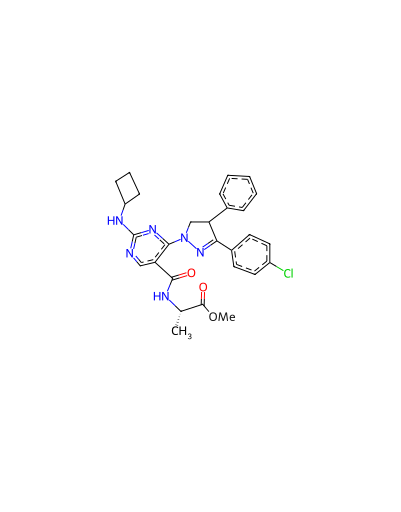 COC(=O)[C@H](C)NC(=O)c1cnc(NC2CCC2)nc1N1CC(c2ccccc2)C(c2ccc(Cl)cc2)=N1